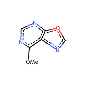 COc1ncnc2ocnc12